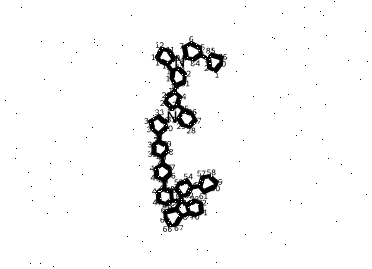 c1ccc(-c2cccc(-n3c4ccccc4c4cc(-c5ccc6c(c5)c5ccccc5n6-c5cccc(-c6ccc(-c7ccc(-c8cccc(C9(c%10cccc(-c%11ccccc%11)c%10)c%10ccccc%10-c%10ccccc%109)c8)cc7)cc6)c5)ccc43)c2)cc1